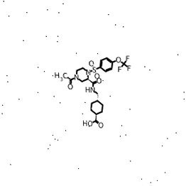 CC(=O)N1CCN(S(=O)(=O)c2ccc(OC(F)(F)F)cc2)[C@@H](C(=O)NC[C@H]2CC[C@H](C(=O)O)CC2)C1